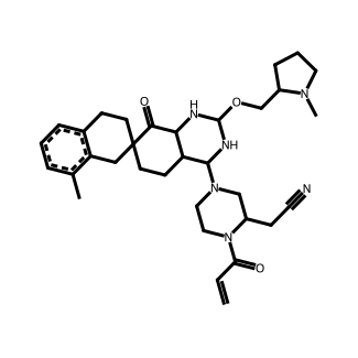 C=CC(=O)N1CCN(C2NC(OCC3CCCN3C)NC3C(=O)C4(CCc5cccc(C)c5C4)CCC32)CC1CC#N